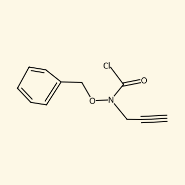 C#CCN(OCc1ccccc1)C(=O)Cl